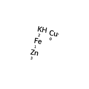 [Cu].[Fe].[KH].[Zn]